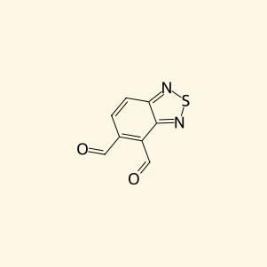 O=Cc1ccc2nsnc2c1C=O